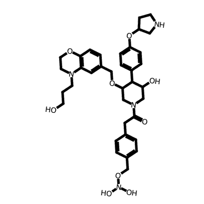 O=C(Cc1ccc(CON(O)O)cc1)N1CC(O)C(c2ccc(OC3CCNC3)cc2)C(OCc2ccc3c(c2)N(CCCO)CCO3)C1